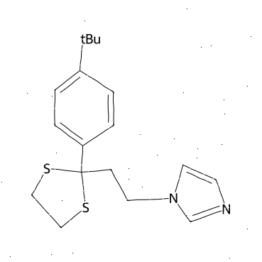 CC(C)(C)c1ccc(C2(CCn3ccnc3)SCCS2)cc1